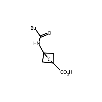 CCC(C)C(=O)NC12CC(C(=O)O)(C1)C2